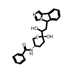 O=C(N[C@H]1CC[C@@](O)(C(O)CC2c3ccccc3-c3cncn32)CC1)c1ccccc1